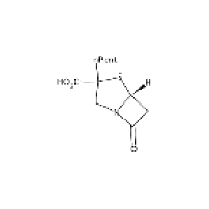 CCCCCC1(C(=O)O)CN2C(=O)C[C@H]2S1